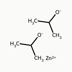 CC(C)[O-].CC(C)[O-].[Zn+2]